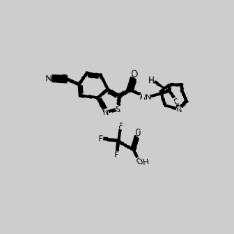 N#Cc1ccc2c(C(=O)N[C@H]3CN4CCC3CC4)snc2c1.O=C(O)C(F)(F)F